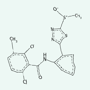 Cc1ccc(Cl)c(C(=O)Nc2ccccc2-c2nnc([S+](C)[O-])s2)c1Cl